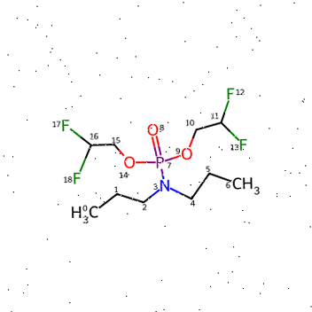 CCCN(CCC)P(=O)(OCC(F)F)OCC(F)F